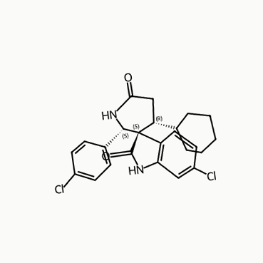 O=C1C[C@H](C2CCCCC2)[C@@]2(C(=O)Nc3cc(Cl)ccc32)[C@H](c2ccc(Cl)cc2)N1